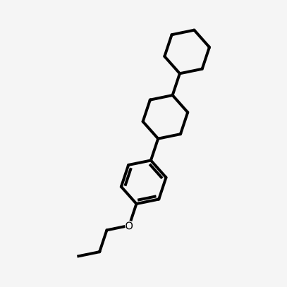 CCCOc1ccc(C2CCC(C3CCCCC3)CC2)cc1